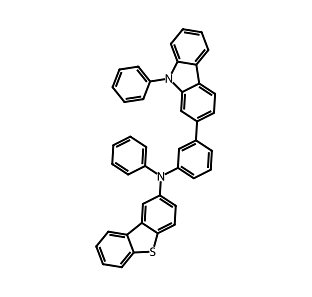 c1ccc(N(c2cccc(-c3ccc4c5ccccc5n(-c5ccccc5)c4c3)c2)c2ccc3sc4ccccc4c3c2)cc1